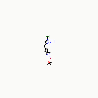 CC(C)(C)OC(=O)N1CC2(CC(Cc3cc(C(F)(F)F)[nH]n3)C2)C1